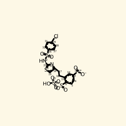 O=[N+]([O-])c1ccc(S(=O)(=O)OS(=O)(=O)O)c(CCc2csc(NS(=O)(=O)c3ccc(Cl)cc3)n2)c1